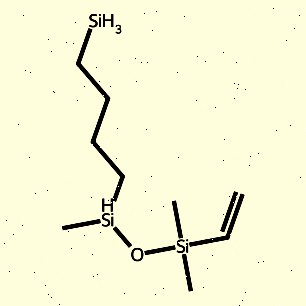 C=C[Si](C)(C)O[SiH](C)CCCC[SiH3]